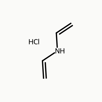 C=CNC=C.Cl